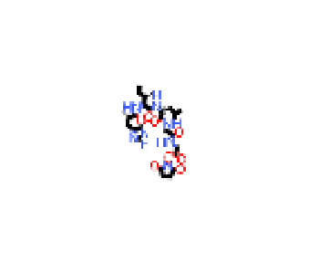 CC[C@@H](C)C(NC(=O)[C@@H](C)Cc1c[nH]cn1)C(=O)N[C@@H](CC(C)C)C(=O)NCC(=O)NCC(=O)ON1C(=O)CCC1=O